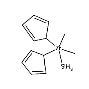 [CH3][Zr]([CH3])([SiH3])([CH]1C=CC=C1)[CH]1C=CC=C1